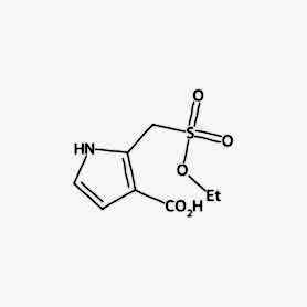 CCOS(=O)(=O)Cc1[nH]ccc1C(=O)O